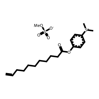 C=CCCCCCCCCC(=O)Oc1ccc([S+](C)C)cc1.COS(=O)(=O)[O-]